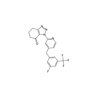 O=C1CCCc2nnn(-c3cc(Cc4cc(F)cc(C(F)(F)F)c4)ccn3)c21